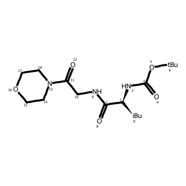 CC[C@H](C)[C@H](NC(=O)OC(C)(C)C)C(=O)NCC(=O)N1CCOCC1